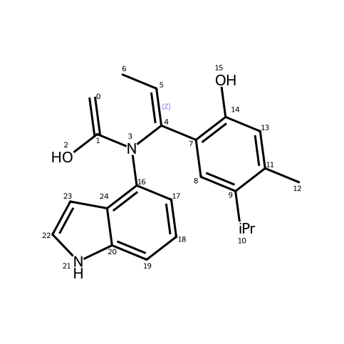 C=C(O)N(/C(=C\C)c1cc(C(C)C)c(C)cc1O)c1cccc2[nH]ccc12